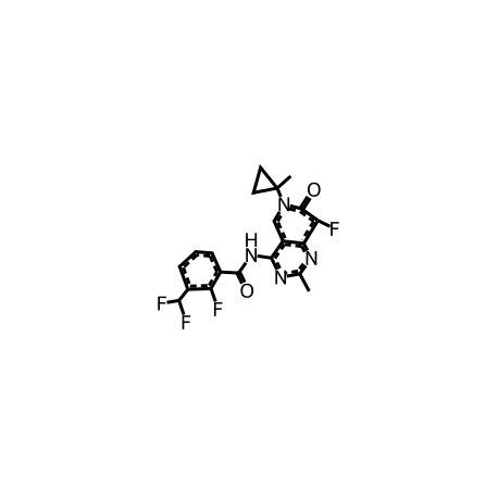 Cc1nc(NC(=O)c2cccc(C(F)F)c2F)c2cn(C3(C)CC3)c(=O)c(F)c2n1